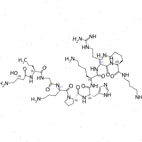 CCC[C@H](NC(=O)C[C@@H](O)CN)C(=O)NCC(=O)/N=C(\CCCN)C(=O)N1CCC[C@H]1C(=O)N[C@@H](Cc1cnc[nH]1)C(=O)N[C@@H](CCCCN)C(=O)N/C(=C\CCNC(=N)N)C(=O)N[C@@H](CCCCN)C(=O)NCCCCN